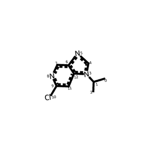 CC(C)n1cnc2cnc(Cl)cc21